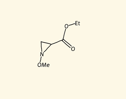 CCOC(=O)C1CN1OC